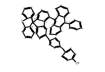 N#Cc1ccc(-c2ccc(-c3ccc4c(c3)-c3c(-c5c6ccccc6c(-c6ccccc6)c6ccccc56)cccc3C43c4ccccc4Oc4ccccc43)cc2)cc1